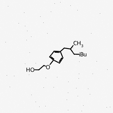 CCC(C)CC(C)Cc1ccc(OCCO)cc1